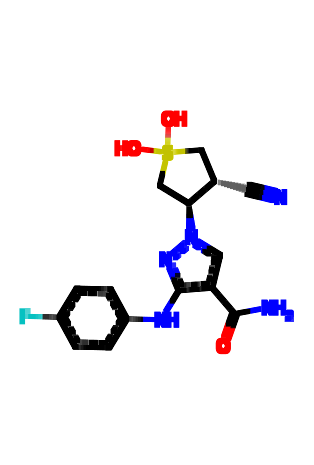 N#C[C@H]1CS(O)(O)C[C@@H]1n1cc(C(N)=O)c(Nc2ccc(F)cc2)n1